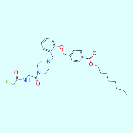 CCCCCCCCOC(=O)c1ccc(COc2ccccc2CN2CCN(C(=O)CNC(=O)CF)CC2)cc1